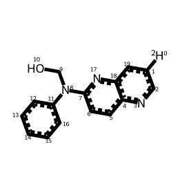 [2H]c1cnc2ccc(N(CO)c3ccccc3)nc2c1